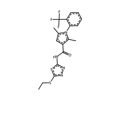 CCSc1nnc(NC(=O)c2cc(C)n(-c3ccccc3C(F)(F)F)c2C)s1